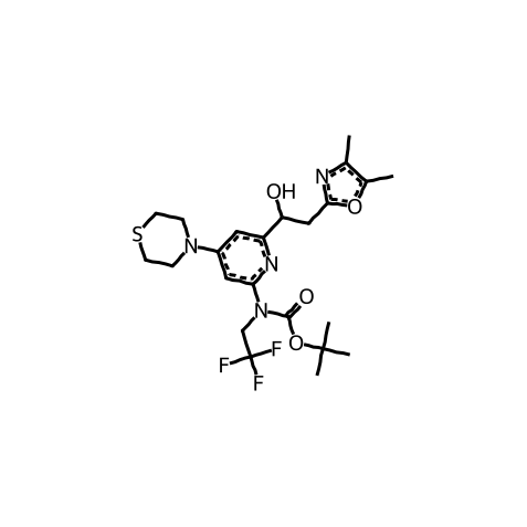 Cc1nc(CC(O)c2cc(N3CCSCC3)cc(N(CC(F)(F)F)C(=O)OC(C)(C)C)n2)oc1C